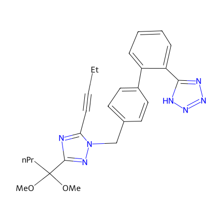 CCC#Cc1nc(C(CCC)(OC)OC)nn1Cc1ccc(-c2ccccc2-c2nnn[nH]2)cc1